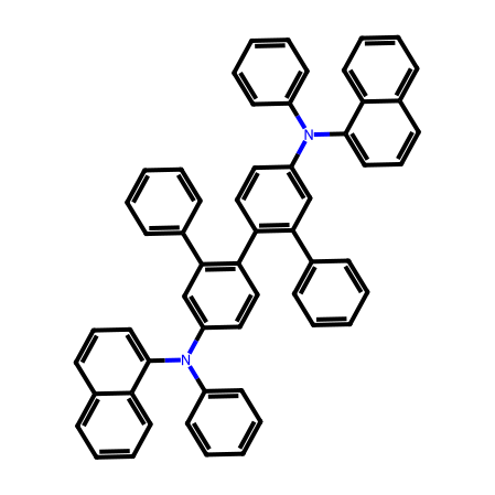 c1ccc(-c2cc(N(c3ccccc3)c3cccc4ccccc34)ccc2-c2ccc(N(c3ccccc3)c3cccc4ccccc34)cc2-c2ccccc2)cc1